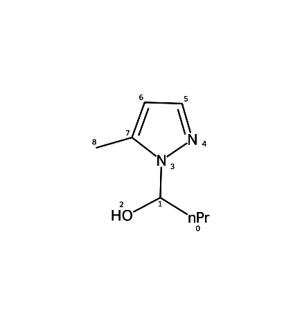 CCCC(O)n1nccc1C